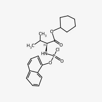 CC(C)[C@H](NP(=O)(Cl)Oc1cccc2ccccc12)C(=O)OC1CCCCC1